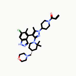 C=CC(=O)N1CCC(n2nc(N3CC[C@@H](CN4CCOCC4)CC3(C)C)c(-c3c(C)c(Cl)cc4[nH]ncc34)c2C)CC1